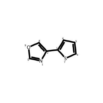 [c]1nc(-c2cccs2)co1